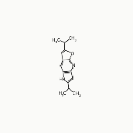 CC(C)c1cc2nc3oc(C(C)C)cc3cc2[nH]1